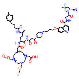 C=C(CC[C@H](NC(=O)CN1CCN(COC=O)CCN(COC=O)CCN(CC(=O)O)CC1)C(=O)NC(=O)CC(=O)N1CCN(CCCCOc2ccc3nccc(C(=O)NCC(=O)N4CC(C)(F)C[C@@H]4C#N)c3c2)CC1)NC(=O)CCCc1ccc(C)cc1